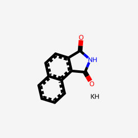 O=C1NC(=O)c2c1ccc1ccccc21.[KH]